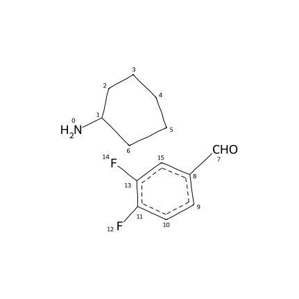 NC1CCCCC1.O=Cc1ccc(F)c(F)c1